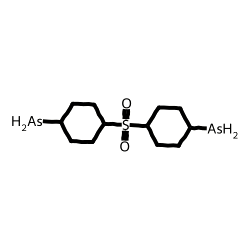 O=S(=O)(C1CCC([AsH2])CC1)C1CCC([AsH2])CC1